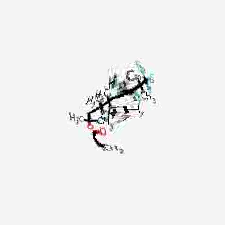 C=CC(=O)OC(C)(C)CC(C)(C)C(C)(C)C(F)(F)C(C)(C)C(F)(F)F